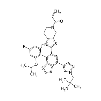 C=CC(=O)N1CCc2nc(-c3nc(-c4cnn(CC(C)(C)N)c4)c4ccsc4c3-c3c(F)cc(F)cc3OC(C)C)sc2C1